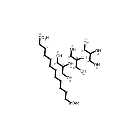 CCCCCCCCCCCCCCCCCCCCCC(=O)O.OCC(O)CO.OCC(O)CO.OCC(O)CO